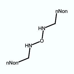 CCCCCCCCCCNONCCCCCCCCCC